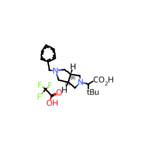 CC(C)(C)C(C(=O)O)N1C[C@H]2CN(Cc3ccccc3)C[C@H]2C1.O=C(O)C(F)(F)F